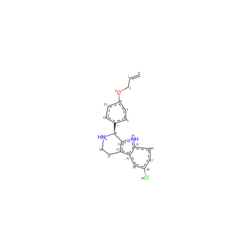 C=CCOc1ccc([C@@H]2NCCc3c2[nH]c2ccc(Cl)cc32)cc1